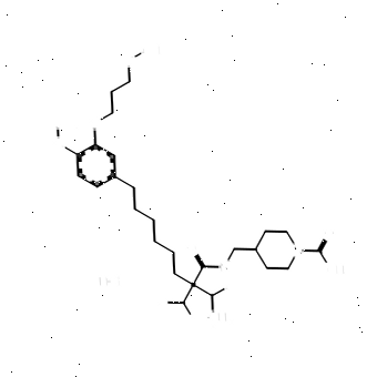 COCCCOc1cc(CCCCCCC(C(=O)NCC2CCN(C(C)=O)CC2)(C(C)C)C(C)C)ccc1OC.Cl